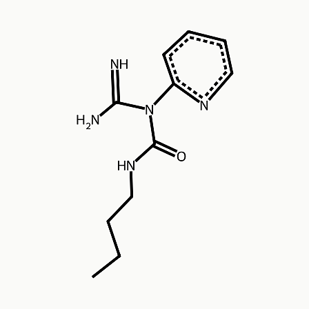 CCCCNC(=O)N(C(=N)N)c1ccccn1